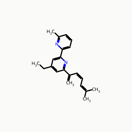 C=C(/C=C\C=C(C)C)c1cc(CC)cc(-c2cccc(C)n2)n1